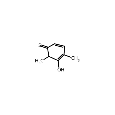 CC1=C(O)C(C)C(=S)C=C1